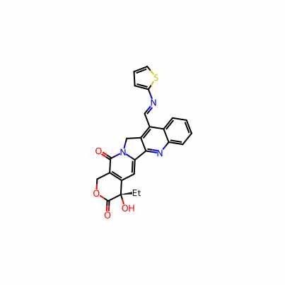 CC[C@@]1(O)C(=O)OCc2c1cc1n(c2=O)Cc2c-1nc1ccccc1c2C=Nc1cccs1